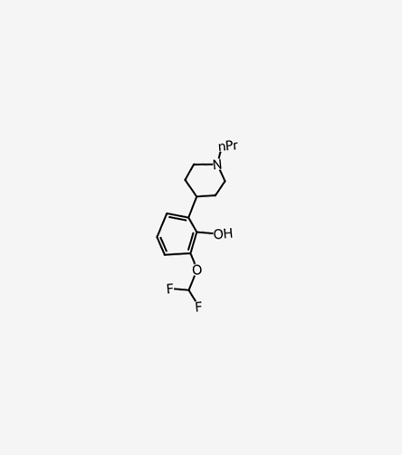 CCCN1CCC(c2cccc(OC(F)F)c2O)CC1